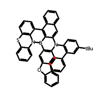 CC(C)(C)c1ccc(N2c3cc4c(cc3B3c5c2cc2ccccc2c5-c2cccc5c2N3c2ccccc2S5)oc2ccccc24)c(-c2ccccc2)c1